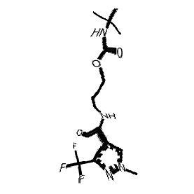 Cn1cc(C(=O)NCCOC(=O)NC(C)(C)C)c(C(F)(F)F)n1